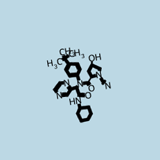 CC(C)(C)c1ccc(N(C(=O)[C@H]2C[C@@H](O)CN2C#N)C(C(=O)NC2CCCCC2)c2cnccn2)cc1